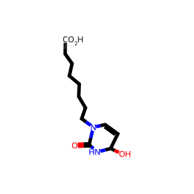 O=C(O)CCCCCCCN1C=CC(O)NC1=O